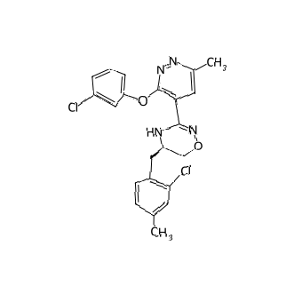 Cc1ccc(C[C@@H]2CON=C(c3cc(C)nnc3Oc3cccc(Cl)c3)N2)c(Cl)c1